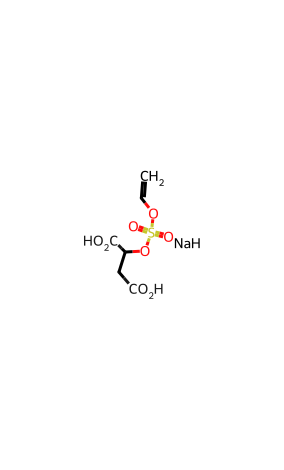 C=COS(=O)(=O)OC(CC(=O)O)C(=O)O.[NaH]